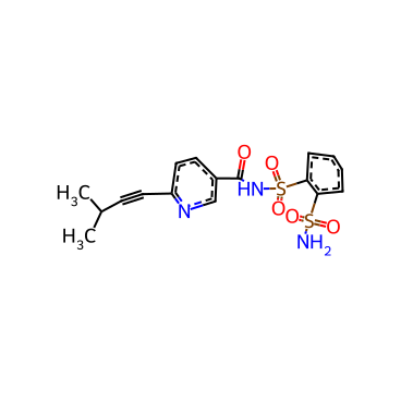 CC(C)C#Cc1ccc(C(=O)NS(=O)(=O)c2ccccc2S(N)(=O)=O)cn1